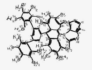 Bc1c(B)c(B)c(-c2cc(-c3c(B)c(B)c(B)c(B)c3B)cc(-c3c4c(B)c(B)c(B)c(B)c4c(-n4c(C)nc5ccccc54)c4c(B)c(B)c(B)c(B)c34)c2)c(B)c1B